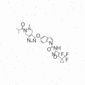 CC(C)C(=O)N1Cc2ncnc(Oc3ccc4c(ccn4C(=O)Nc4cc(C5(C(F)(F)F)CC5)on4)c3)c2C[C@@H]1C